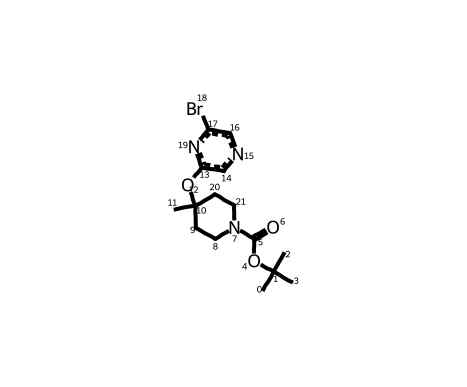 CC(C)(C)OC(=O)N1CCC(C)(Oc2cncc(Br)n2)CC1